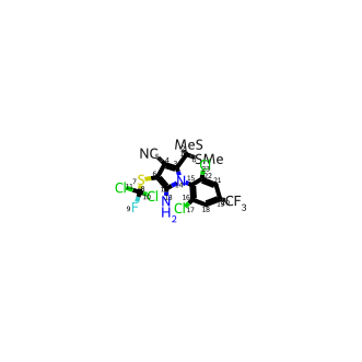 CSC(SC)c1c(C#N)c(SC(F)(Cl)Cl)c(N)n1-c1c(Cl)cc(C(F)(F)F)cc1Cl